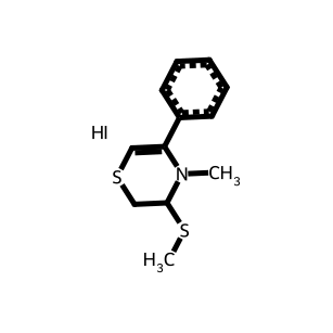 CSC1CSC=C(c2ccccc2)N1C.I